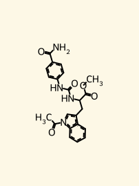 COC(=O)C(Cc1cn(C(C)=O)c2ccccc12)NC(=O)Nc1ccc(C(N)=O)cc1